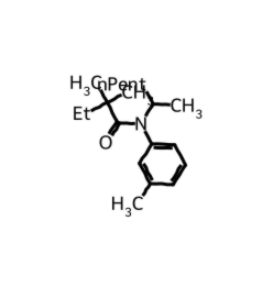 CCCCCC(C)N(C(=O)C(C)(C)CC)c1cccc(C)c1